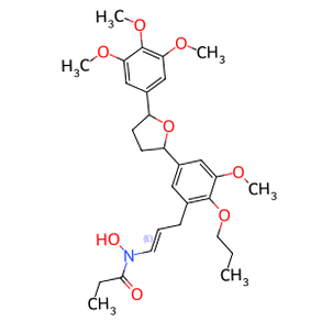 CCCOc1c(C/C=C/N(O)C(=O)CC)cc(C2CCC(c3cc(OC)c(OC)c(OC)c3)O2)cc1OC